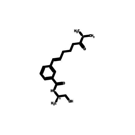 C[C@H](CO)NC(=O)c1cccc(C=CCCCC(=O)N(C)C)c1